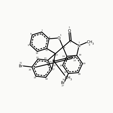 CN1C(=O)C2(Oc3ccccc3C23C(=O)N(C)c2ccc(Br)cc23)c2cc(Br)ccc21